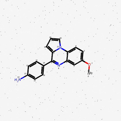 CCCOc1ccc2c(c1)nc(-c1ccc(N)cc1)c1cccn12